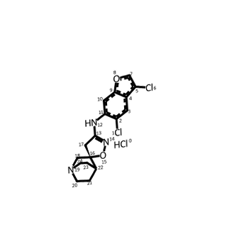 Cl.Clc1cc2c(Cl)coc2cc1NC1=NO[C@@]2(C1)CN1CCC2CC1